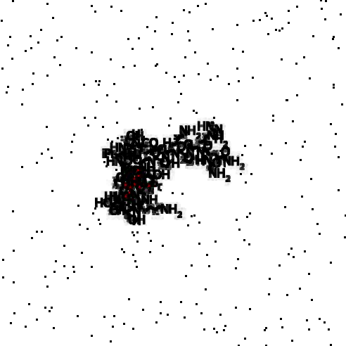 CC[C@H](C)[C@H](NC(=O)[C@H](CC(C)C)NC(=O)[C@@H]1CCCN1C(=O)[C@H](CCCCN)NC(=O)[C@@H]1CCCN1C(=O)[C@H](CCCNC(=N)N)NC(=O)[C@H](CCC(N)=O)NC(=O)CN)C(=O)N[C@@H](Cc1ccc(O)cc1)C(=O)N[C@@H](CCC(=O)O)C(=O)N[C@H](C(=O)N[C@@H](CO)C(=O)N[C@@H](CCCCN)C(=O)N[C@@H](CC(C)C)C(=O)N[C@@H](C)C(=O)N[C@@H](CO)C(=O)NCC(=O)N[C@H](C(=O)N[C@@H](CO)C(=O)N[C@@H](CO)C(=O)O)C(C)C)[C@@H](C)O